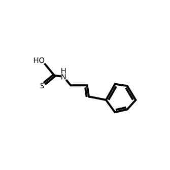 OC(=S)NCC=Cc1ccccc1